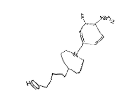 Nc1ccc(N2CCC(CCCO)CC2)cc1F